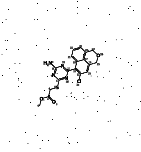 COC(=O)CSc1nc(N)nc(-c2c(Cl)cc3c4c(cccc24)COC3)n1